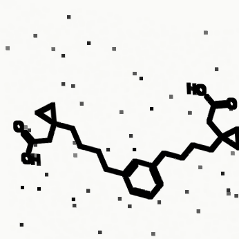 O=C(O)CC1(CCCCc2cccc(CCCCC3(CC(=O)O)CC3)c2)CC1